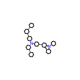 c1ccc(-c2cccc(-c3ccc(N(c4ccc(-c5ccc6c(c5)c5ccccc5n6-c5ccccc5)cc4)c4cccc(-c5ccccc5)c4)cc3)c2)cc1